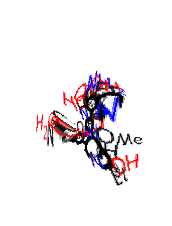 CC[C@]1(O)C[C@H]2C[N@](CCc3c([nH]c4ccccc34)[C@@](C(=O)OC)(c3cc4c(cc3OC)N(C)[C@H]3[C@@](O)(C(N)=O)[C@H](O)[C@]5(CC)C=CCN6CC[C@]43[C@@H]65)C2)C1.O.O=S(=O)(O)O